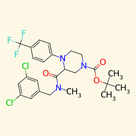 CN(Cc1cc(Cl)cc(Cl)c1)C(=O)C1CN(C(=O)OC(C)(C)C)CCN1c1ccc(C(F)(F)F)cc1